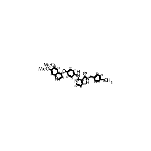 COc1cc2nccc(Oc3ccc(Nc4ncccc4C(=O)NCc4ccc(C)cc4)cc3)c2cc1OC